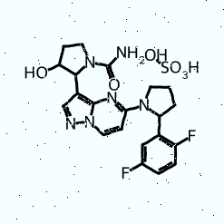 NC(=O)N1CCC(O)C1c1cnn2ccc(N3CCCC3c3cc(F)ccc3F)nc12.O=S(=O)(O)O